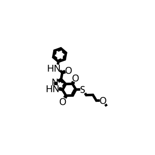 COCCCSC1=CC(=O)c2[nH]nc(C(=O)Nc3ccccc3)c2C1=O